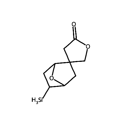 O=C1CC2(CO1)CC1OC2CC1[SiH3]